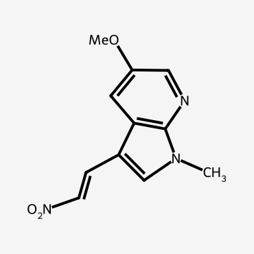 COc1cnc2c(c1)c(C=C[N+](=O)[O-])cn2C